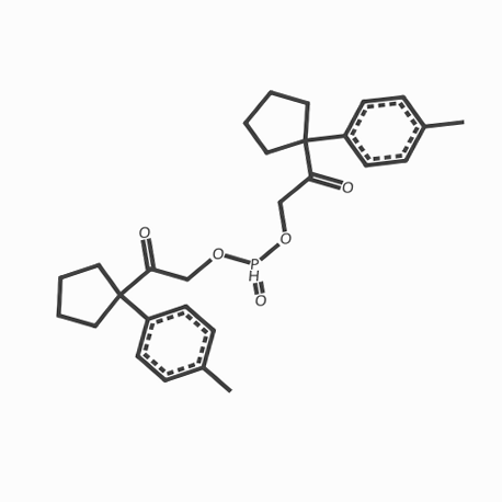 Cc1ccc(C2(C(=O)CO[PH](=O)OCC(=O)C3(c4ccc(C)cc4)CCCC3)CCCC2)cc1